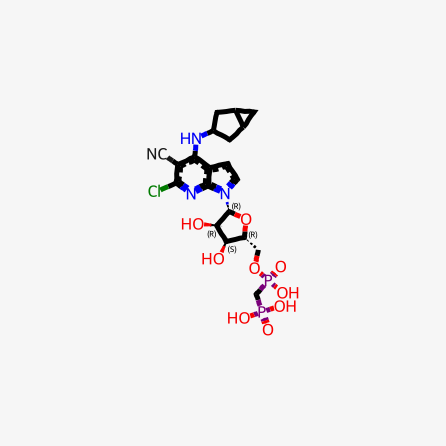 N#Cc1c(Cl)nc2c(ccn2[C@@H]2O[C@H](COP(=O)(O)CP(=O)(O)O)[C@@H](O)[C@H]2O)c1NC1CC2CC2C1